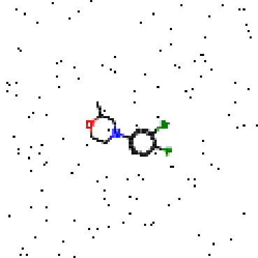 CC1CN(c2ccc(F)c(Br)c2)CCO1